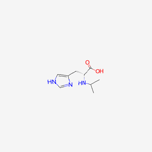 CC(C)N[C@H](Cc1c[nH]cn1)C(=O)O